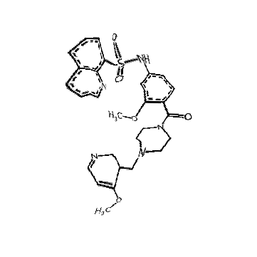 COC1=CC=NCC1CN1CCN(C(=O)c2ccc(NS(=O)(=O)c3cccc4cccnc34)cc2OC)CC1